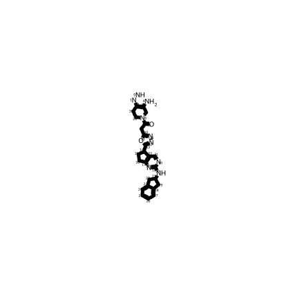 N=NC1=C(N)CN(C(=O)Cc2nnc(C3CCc4nc(NC5Cc6ccccc6C5)ncc43)o2)CC1